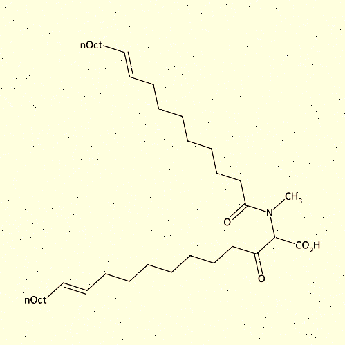 CCCCCCCCC=CCCCCCCCC(=O)C(C(=O)O)N(C)C(=O)CCCCCCCC=CCCCCCCCC